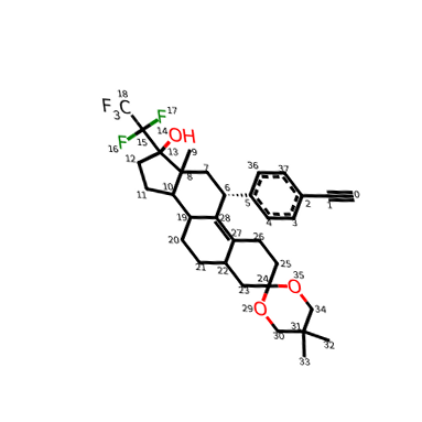 C#Cc1ccc([C@H]2CC3(C)C(CCC3(O)C(F)(F)C(F)(F)F)C3CCC4CC5(CCC4=C32)OCC(C)(C)CO5)cc1